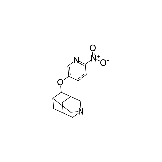 O=[N+]([O-])c1ccc(OC2C3CC4CC2CN(C4)C3)cn1